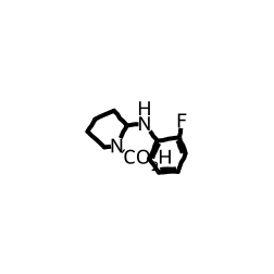 O=C(O)N1CCCCC1Nc1ccccc1F